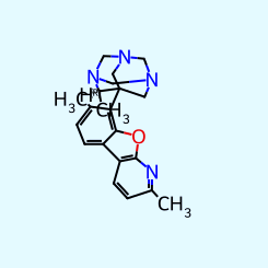 Cc1ccc2c(n1)oc1c(C34CN5CN(CN(C5)[C@@H]3C)C4)c(C)ccc12